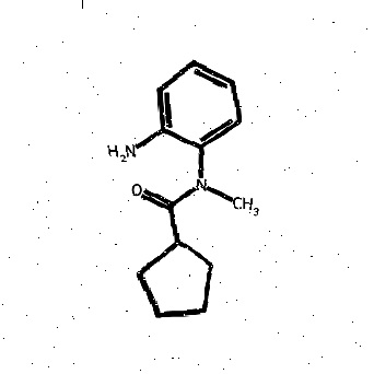 CN(C(=O)C1CCCC1)c1ccccc1N